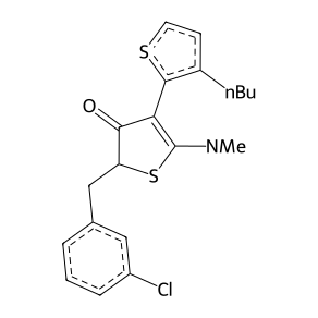 CCCCc1ccsc1C1=C(NC)SC(Cc2cccc(Cl)c2)C1=O